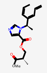 C=C/C=C(\C=C/C)[C@@H](C)n1cncc1C(=O)OC[C@H](C)C(=O)OC